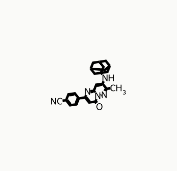 Cc1nn2c(=O)cc(-c3ccc(C#N)cc3)nc2cc1NC12CC3CC(CC(C3)C1)C2